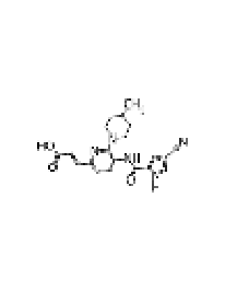 CC1CCN(c2nc(C=CC(=O)O)ccc2NC(=O)c2cc(C#N)c[nH]2)CC1